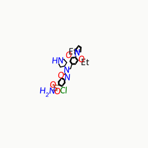 CCOc1cc(CN(c2nc3cc(Cl)c(S(N)(=O)=O)cc3o2)C2CCNCC2)cc(OCC)c1-n1cccc1